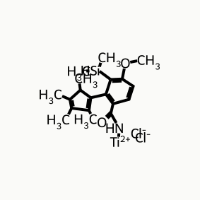 COc1ccc(C(=O)[NH][Ti+2])c(C2=C(C)C(C)=C(C)C2C)c1[SiH](C)C.[Cl-].[Cl-]